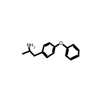 CC(N)Cc1ccc(Oc2ccccc2)cc1